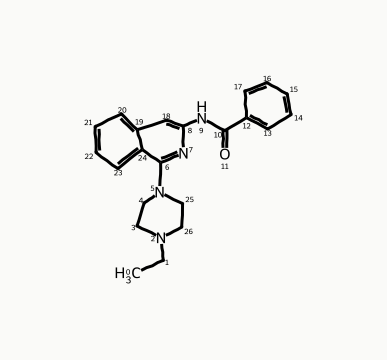 CCN1CCN(c2nc(NC(=O)c3ccccc3)cc3ccccc23)CC1